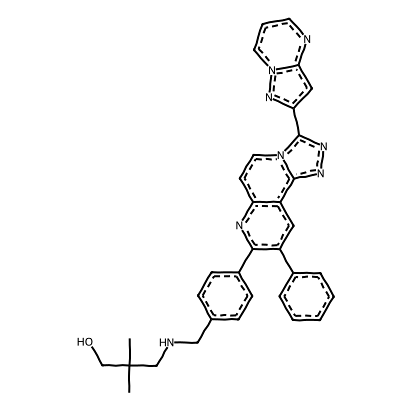 CC(C)(CO)CNCc1ccc(-c2nc3ccn4c(-c5cc6ncccn6n5)nnc4c3cc2-c2ccccc2)cc1